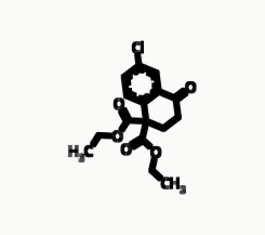 CCOC(=O)C1(C(=O)OCC)CCC(=O)c2cc(Cl)ccc21